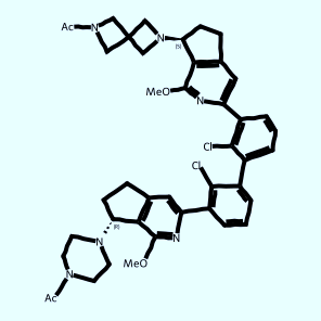 COc1nc(-c2cccc(-c3cccc(-c4cc5c(c(OC)n4)[C@@H](N4CC6(CN(C(C)=O)C6)C4)CC5)c3Cl)c2Cl)cc2c1[C@H](N1CCN(C(C)=O)CC1)CC2